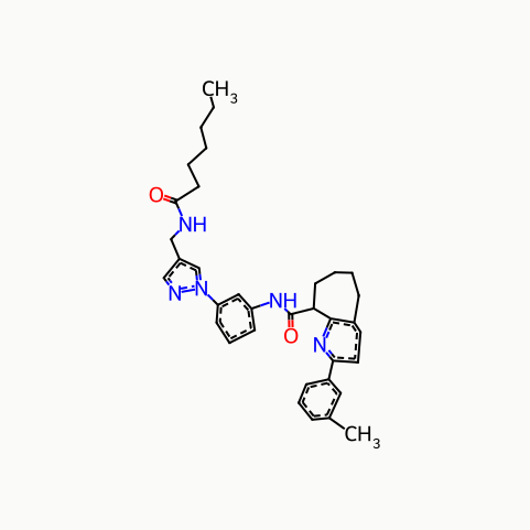 CCCCCCC(=O)NCc1cnn(-c2cccc(NC(=O)C3CCCCc4ccc(-c5cccc(C)c5)nc43)c2)c1